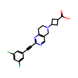 O=C(O)C1CC(N2CCc3nc(C#Cc4cc(F)cc(F)c4)ncc3C2)C1